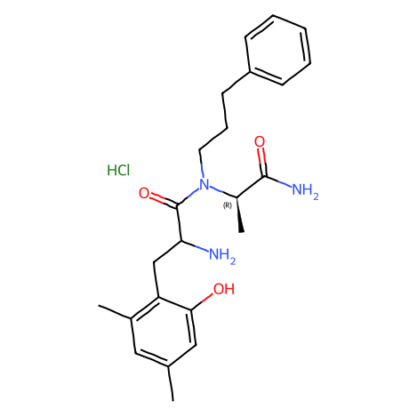 Cc1cc(C)c(CC(N)C(=O)N(CCCc2ccccc2)[C@H](C)C(N)=O)c(O)c1.Cl